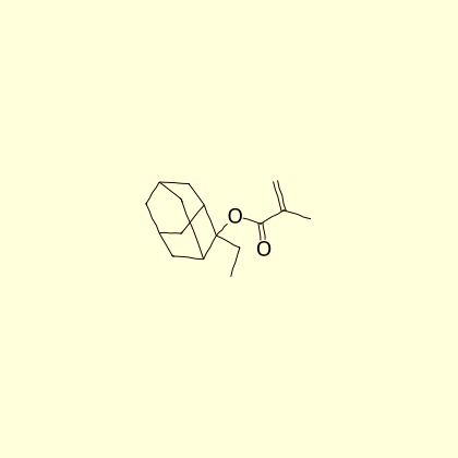 C=C(C)C(=O)OC1(CC)C2CC3CC(C2)CC1C3